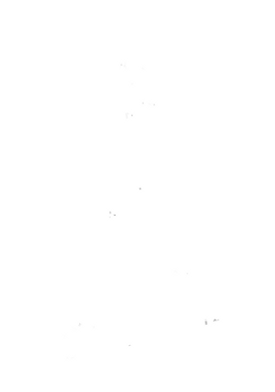 CCCCCCCCC(CCCCCCCC)OC(=O)CCCCCCCN(CCCCCC(=O)OC(C)CCC(C)CCC)CC(O)CCCCNC(=O)c1cc[nH]c1